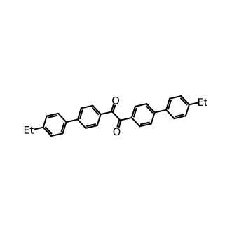 CCc1ccc(-c2ccc(C(=O)C(=O)c3ccc(-c4ccc(CC)cc4)cc3)cc2)cc1